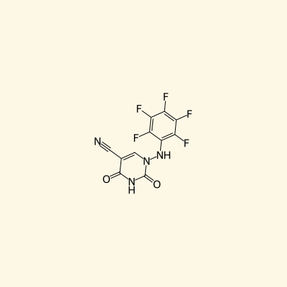 N#Cc1cn(Nc2c(F)c(F)c(F)c(F)c2F)c(=O)[nH]c1=O